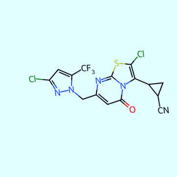 N#CC1CC1c1c(Cl)sc2nc(Cn3nc(Cl)cc3C(F)(F)F)cc(=O)n12